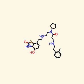 Cc1ccccc1CCNCCC(=O)N(CCNCCc1ccc(O)c2[nH]c(=O)sc12)C1CCCC1